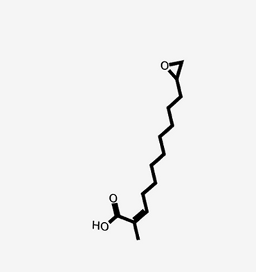 CC(=CCCCCCCCCC1CO1)C(=O)O